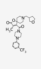 CC1=C(C(=O)N2CCN(c3cccc(C(F)(F)F)c3)CC2)C2(CCN(CC3CCOC3)CC2)OC1=O